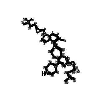 Cc1ccc2c(cnn2COCC[Si](C)(C)C)c1N1CCc2c(nc(O[C@H](C)CN(C)C)nc2N2CCNCC2)C1